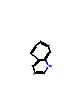 [C]1=C2C=CC=CC=C2NC=C1